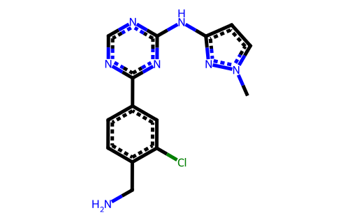 Cn1ccc(Nc2ncnc(-c3ccc(CN)c(Cl)c3)n2)n1